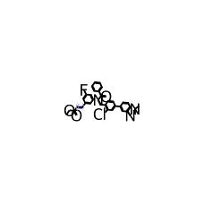 COC(=O)/C=C/c1cc(F)cc(N(Cc2ccc(-c3ccc4c(c3)ncn4C)cc2Cl)C(=O)c2ccccc2)c1